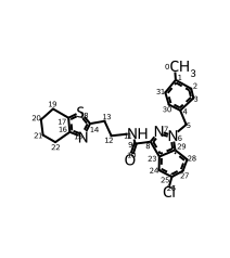 Cc1ccc(Cn2nc(C(=O)NCCc3nc4c(s3)CCCC4)c3cc(Cl)ccc32)cc1